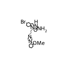 COc1ccccc1N1CCN(CCCCn2c(NC(N)=O)cc3cc(Br)ccc32)CC1